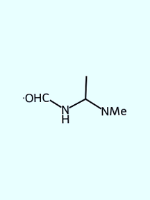 CNC(C)N[C]=O